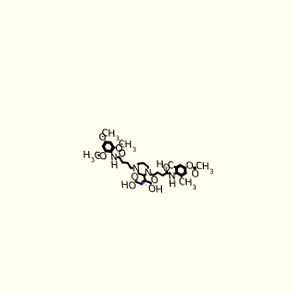 COc1cc(OC)c(NC(=O)CCCN2CCCN(CCCC(=O)Nc3c(C)cc(OC(C)=O)cc3C)C(/C(=C\C(=O)O)C(=O)O)C2)c(OC)c1